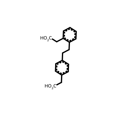 O=C(O)Cc1ccc(CCc2ccccc2CC(=O)O)cc1